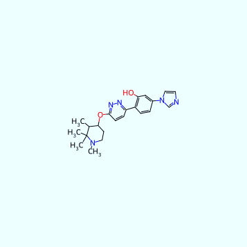 CC1C(Oc2ccc(-c3ccc(-n4ccnc4)cc3O)nn2)CCN(C)C1(C)C